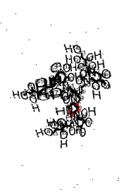 O=C1CN(CC(O)C(O)C(O)C(O)CO)C(N(CCCC(CCCN(C(=O)O)C2=C(O)C(=O)C(=O)CN2CC(O)C(O)C(O)C(O)CO)(CCCN(C(=O)O)C2=C(O)C(=O)C(=O)CN2CC(O)C(O)C(O)C(O)CO)N(C(=O)O)c2ccccc2)C(=O)O)=C(O)C1=O